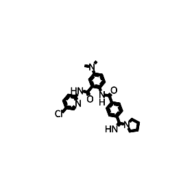 CN(C)c1ccc(NC(=O)c2ccc(C(=N)N3CCCC3)cc2)c(C(=O)Nc2ccc(Cl)cn2)c1